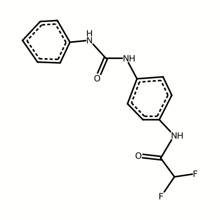 O=C(Nc1ccccc1)Nc1ccc(NC(=O)C(F)F)cc1